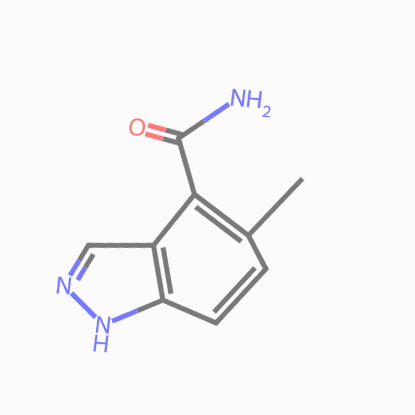 Cc1ccc2[nH]ncc2c1C(N)=O